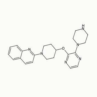 c1ccc2nc(N3CCC(Oc4nccnc4N4CCNCC4)CC3)ccc2c1